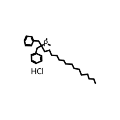 CCCCCCCCCCCCCCCC(Cc1ccccc1)(Cc1ccccc1)P(C)C.Cl